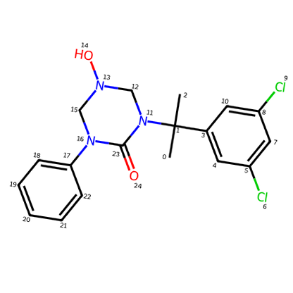 CC(C)(c1cc(Cl)cc(Cl)c1)N1CN(O)CN(c2ccccc2)C1=O